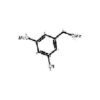 COCc1cc(C#N)cc(OC)c1